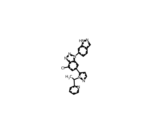 CC(c1ccccn1)n1nccc1-c1cc(Cl)c2nnn(-c3ccc4cn[nH]c4c3)c2c1